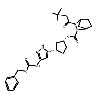 CC(C)(C)OC(=O)N1C2CCC(C2)N1C(=O)O[C@@H]1CC[C@H](c2cc(NC(=O)OCc3ccccc3)n[nH]2)C1